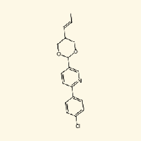 C/C=C/C1COC(c2ccc(-c3ccc(Cl)cc3)nc2)OC1